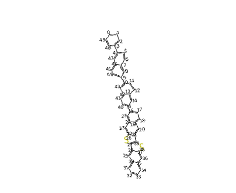 c1ccc(-c2ccc3cc(-c4ccc5cc(-c6ccc7cc8c(cc7c6)sc6c7cc9ccccc9cc7sc86)ccc5c4)ccc3c2)cc1